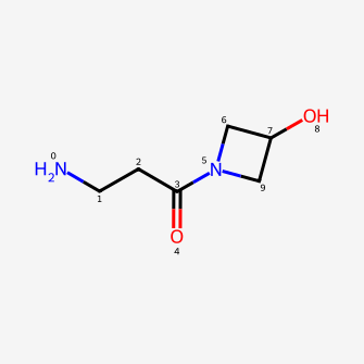 NCCC(=O)N1CC(O)C1